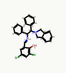 Oc1c(Br)cc(Br)cc1/C=N/C(c1ccccc1)C(c1ccccc1)N1Cc2ccccc2C1